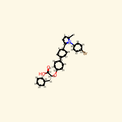 Cc1ccc(-c2ccc(-c3ccc(O[C@H](Cc4ccccc4)C(=O)O)cc3)cc2)n1-c1ccc(Br)cc1